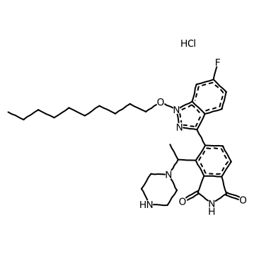 CCCCCCCCCCOn1nc(-c2ccc3c(c2C(C)N2CCNCC2)C(=O)NC3=O)c2ccc(F)cc21.Cl